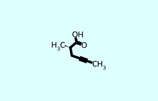 CC#CC[C@H](C)C(=O)O